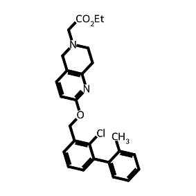 CCOC(=O)CN1CCc2nc(OCc3cccc(-c4ccccc4C)c3Cl)ccc2C1